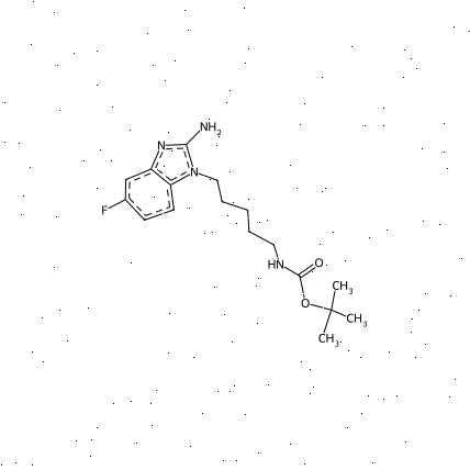 CC(C)(C)OC(=O)NCCCCCn1c(N)nc2cc(F)ccc21